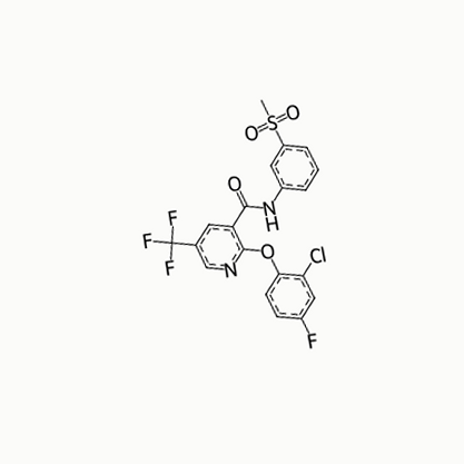 CS(=O)(=O)c1cccc(NC(=O)c2cc(C(F)(F)F)cnc2Oc2ccc(F)cc2Cl)c1